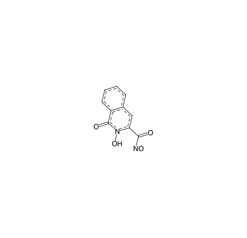 O=NC(=O)c1cc2ccccc2c(=O)n1O